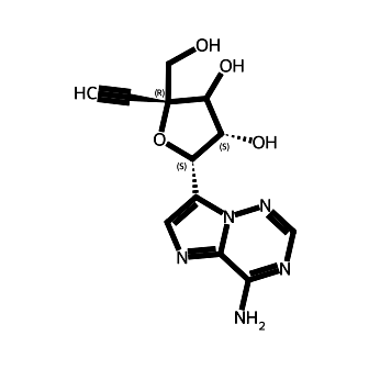 C#C[C@]1(CO)O[C@@H](c2cnc3c(N)ncnn23)[C@@H](O)C1O